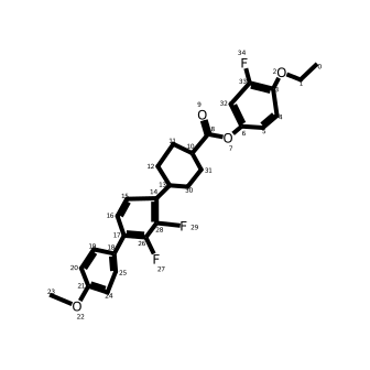 CCOc1ccc(OC(=O)C2CCC(c3ccc(-c4ccc(OC)cc4)c(F)c3F)CC2)cc1F